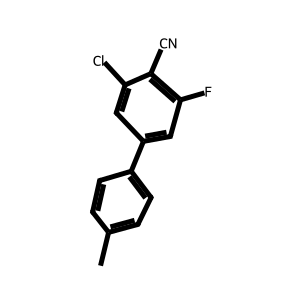 Cc1ccc(-c2cc(F)c(C#N)c(Cl)c2)cc1